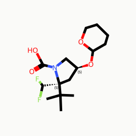 CC(C)(C)[C@]1(C(F)F)C[C@H](OC2CCCCO2)CN1C(=O)O